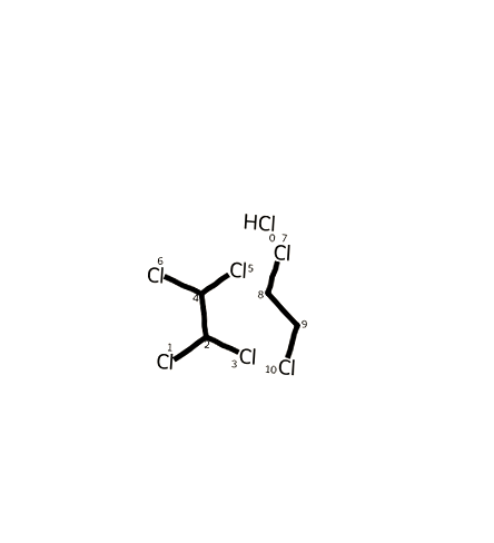 Cl.ClC(Cl)C(Cl)Cl.ClCCCl